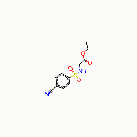 CCOC(=O)CNS(=O)(=O)c1ccc(C#N)cc1